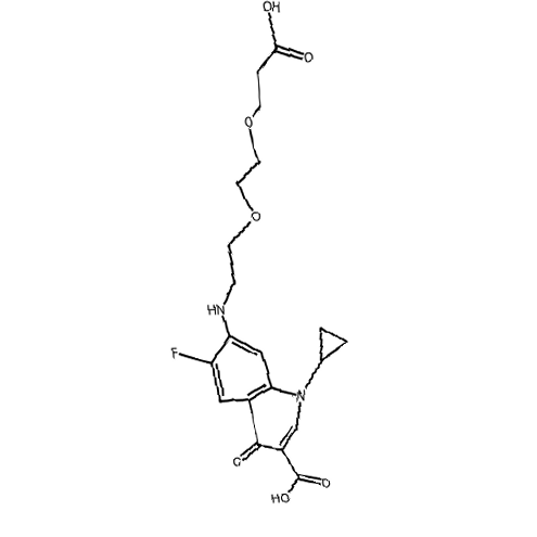 O=C(O)CCOCCOCCNc1cc2c(cc1F)c(=O)c(C(=O)O)cn2C1CC1